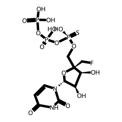 O=c1ccn([C@@H]2O[C@](CF)(CO[P@@](O)(=S)OP(=O)(O)OP(=O)(O)O)[C@@H](O)[C@H]2O)c(=O)[nH]1